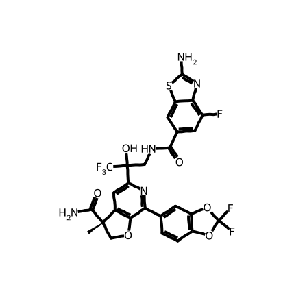 C[C@]1(C(N)=O)COc2c1cc(C(O)(CNC(=O)c1cc(F)c3nc(N)sc3c1)C(F)(F)F)nc2-c1ccc2c(c1)OC(F)(F)O2